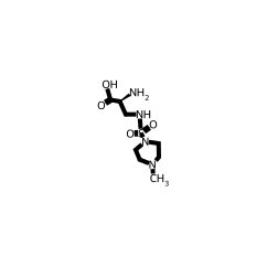 CN1CCN(S(=O)(=O)NC[C@H](N)C(=O)O)CC1